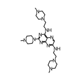 CN1CCN(CCNc2cnc3c(NCCN4CCN(C)CC4)nc(N4CCN(C)CC4)nc3n2)CC1